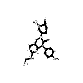 COc1ccc(N2C(=O)N(c3ccc(=O)n(C)c3)Cc3cnc(NCC(F)(F)F)nc32)cc1